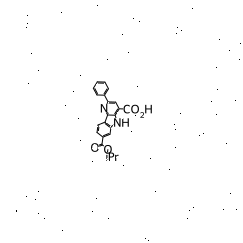 CC(C)OC(=O)c1ccc2c(c1)[nH]c1c(C(=O)O)cc(-c3ccccc3)nc12